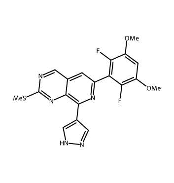 COc1cc(OC)c(F)c(-c2cc3cnc(SC)nc3c(-c3cn[nH]c3)n2)c1F